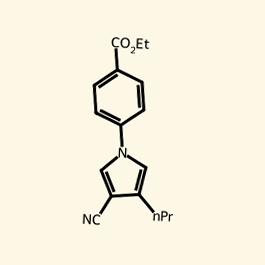 CCCc1cn(-c2ccc(C(=O)OCC)cc2)cc1C#N